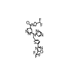 O=C(c1cnnc(N(Cc2ccc(-c3noc(C(F)(F)F)n3)s2)c2cnccn2)c1)N1CC(C(F)F)C1